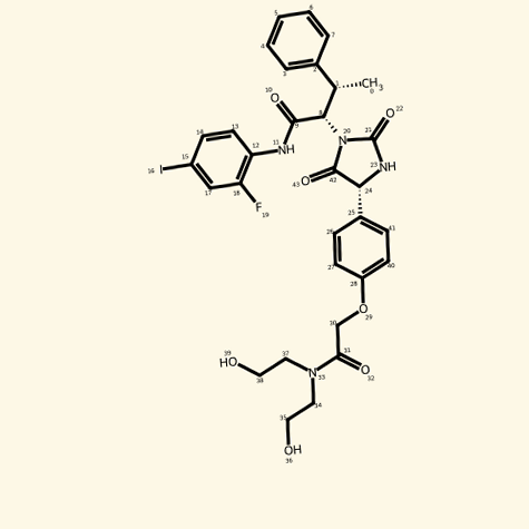 C[C@@H](c1ccccc1)[C@@H](C(=O)Nc1ccc(I)cc1F)N1C(=O)N[C@H](c2ccc(OCC(=O)N(CCO)CCO)cc2)C1=O